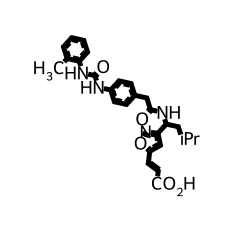 Cc1ccccc1NC(=O)Nc1ccc(CC(=O)NC(CC(C)C)c2cc(/C=C/C(=O)O)on2)cc1